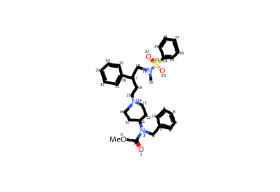 COC(=O)N(Cc1ccccc1)C1CCN(CCC(CN(C)S(=O)(=O)c2ccccc2)c2ccccc2)CC1